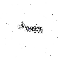 COc1cc(NC(=O)/C(C#N)=C/c2ccc(-c3ccc(S(=O)(=O)NC4CCOCC4)cc3)o2)cc(OC)c1OC